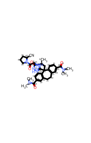 C[C@@H](CC1(c2n[nH]c(=O)[nH]2)c2ccc(C(=O)N(C)C)cc2CCc2cc(C(=O)N(C)C)ccc21)NCC(=O)N1CCCC1C#N